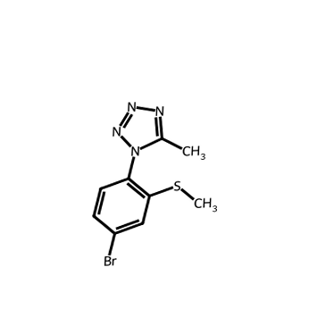 CSc1cc(Br)ccc1-n1nnnc1C